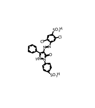 O=c1c(N=Nc2cc(Cl)c(S(=O)(=O)O)cc2Cl)c(-c2ccccc2)[nH]n1-c1ccc(S(=O)(=O)O)cc1